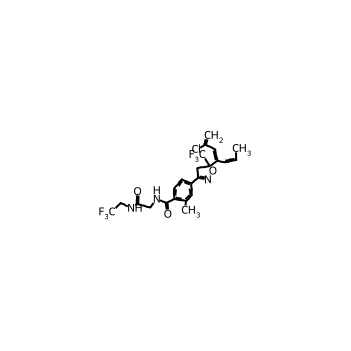 C=C(Cl)/C=C(/C=C\C)C1(C(F)(F)F)CC(c2ccc(C(=O)NCC(=O)NCC(F)(F)F)c(C)c2)=NO1